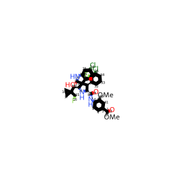 COC(=O)c1ccc(NC(=O)[C@@H]2N[C@@H](CC3(CF)CC3)C3(c4ccc(Cl)cc4NC3O)[C@H]2c2cccc(Cl)c2F)c(OC)c1